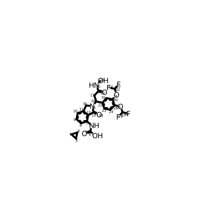 C1CC1.O=C(O)Nc1cccc2c1C(=O)N(C(CC(=O)NO)c1ccc(OC(F)F)c(OC(F)F)c1)C2